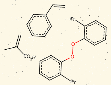 C=C(C)C(=O)O.C=Cc1ccccc1.CC(C)c1ccccc1OOc1ccccc1C(C)C